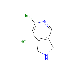 Brc1cc2c(cn1)CNC2.Cl